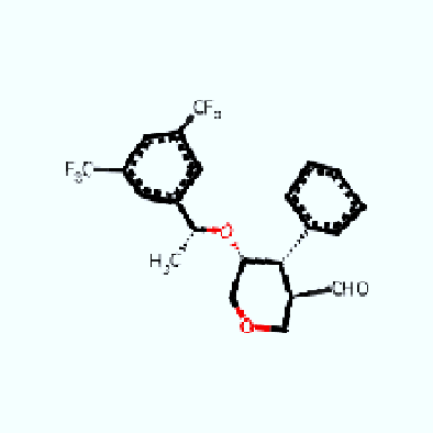 C[C@@H](O[C@H]1COC[C@H](C=O)[C@H]1c1ccccc1)c1cc(C(F)(F)F)cc(C(F)(F)F)c1